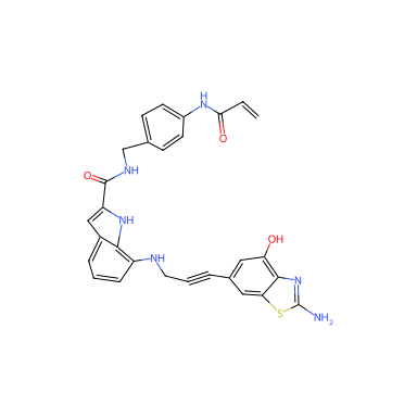 C=CC(=O)Nc1ccc(CNC(=O)c2cc3cccc(NCC#Cc4cc(O)c5nc(N)sc5c4)c3[nH]2)cc1